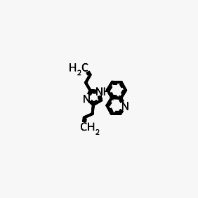 C=CCc1c[nH]c(CC=C)n1.c1ccc2ncccc2c1